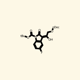 CCCCCCCCCCOCC(O)=C1C(=O)N(C(=O)OC(C)(C)C)c2ccc(F)cc21